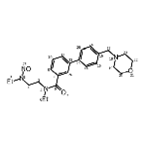 CCN(CCN(CC)C(=O)c1cccc(-c2ccc(CN3CCOCC3)cc2)c1)N=O